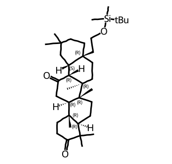 CC1(C)CC[C@]2(CCO[Si](C)(C)C(C)(C)C)CC[C@]3(C)[C@H](C(=O)C[C@@H]4[C@@]5(C)CCC(=O)C(C)(C)[C@@H]5CC[C@]43C)[C@@H]2C1